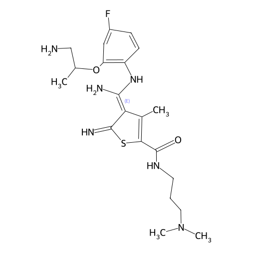 CC1=C(C(=O)NCCCN(C)C)SC(=N)/C1=C(\N)Nc1ccc(F)cc1OC(C)CN